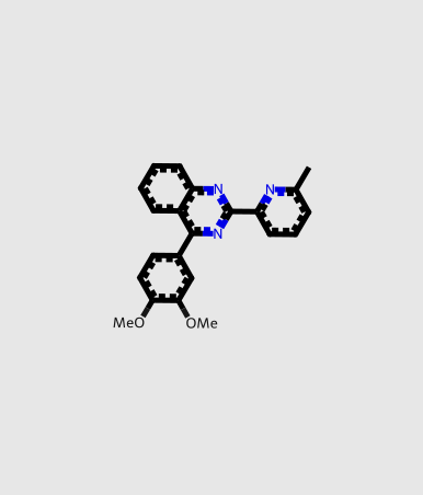 COc1ccc(-c2nc(-c3cccc(C)n3)nc3ccccc23)cc1OC